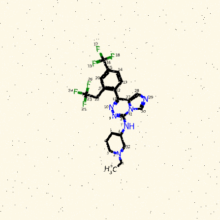 CCN1CCCC(Nc2nnc(-c3ccc(C(F)(F)F)cc3CC(F)(F)F)c3cncn23)C1